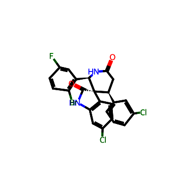 O=C1C[C@@H](c2cccc(Cl)c2)[C@]2(C(=O)Nc3cc(Cl)ccc32)[C@@H](c2cc(F)ccc2Br)N1